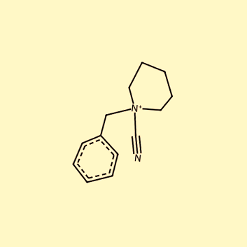 N#C[N+]1(Cc2ccccc2)CCCCC1